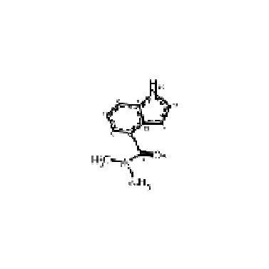 CN(C)C(=O)c1cccc2[nH]ccc12